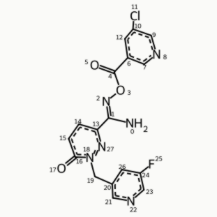 NC(=NOC(=O)c1cncc(Cl)c1)c1ccc(=O)n(Cc2cncc(F)c2)n1